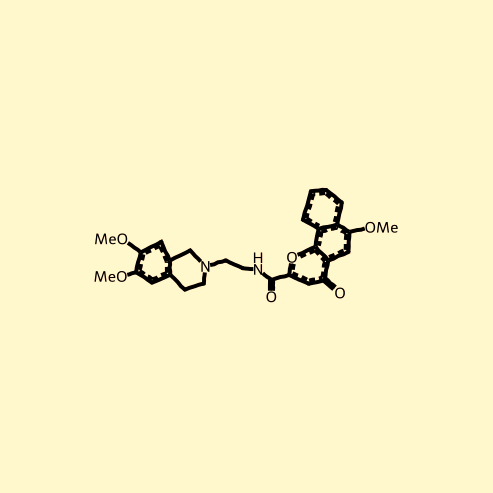 COc1cc2c(cc1OC)CN(CCNC(=O)c1cc(=O)c3cc(OC)c4ccccc4c3o1)CC2